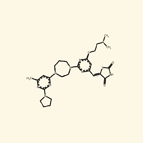 Cc1cc(N2CCCN(c3nc(/C=C4\SC(=O)NC4=O)cc(OCCN(C)C)n3)CC2)nc(N2CCCC2)n1